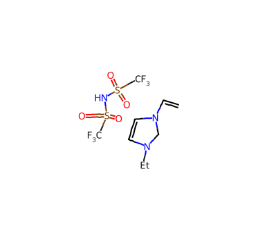 C=CN1C=CN(CC)C1.O=S(=O)(NS(=O)(=O)C(F)(F)F)C(F)(F)F